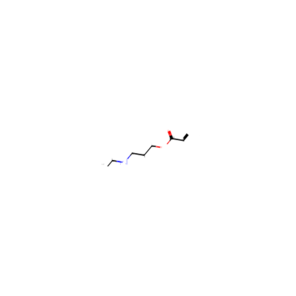 C=CC(=O)OCCCNCC